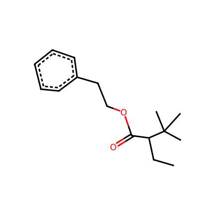 CCC(C(=O)OCCc1ccccc1)C(C)(C)C